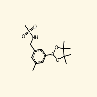 Cc1cc(CNS(C)(=O)=O)cc(B2OC(C)(C)C(C)(C)O2)c1